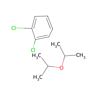 CC(C)OC(C)C.Clc1ccccc1Cl